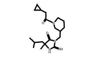 CC(C)CC1(C)NC(=N)N(CC2CCCN(C(=O)CC3CC3)C2)C1=O